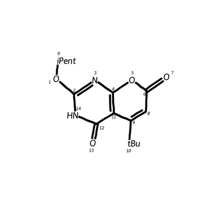 CCCC(C)Oc1nc2oc(=O)cc(C(C)(C)C)c2c(=O)[nH]1